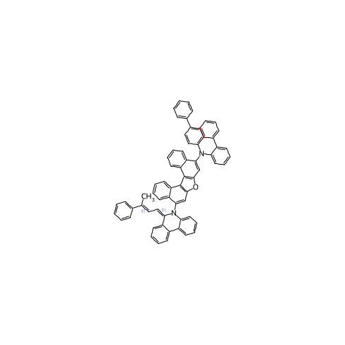 C/C(=C\C=C1/c2ccccc2-c2ccccc2N1c1cc2oc3cc(N(c4ccc(-c5ccccc5)cc4)c4ccccc4-c4ccccc4)c4ccccc4c3c2c2ccccc12)c1ccccc1